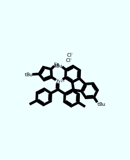 CCC1C=C(C(C)(C)C)C=[C]1[Zr+2](=[C](c1ccc(C)cc1)c1ccc(C)cc1)[c]1c(C(C)(C)C)ccc2c1Cc1cc(C(C)(C)C)ccc1-2.[Cl-].[Cl-]